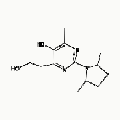 Cc1nc(N2C(C)CCC2C)nc(CCO)c1O